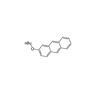 CCCCOc1ccc2[c]c3ccccc3cc2c1